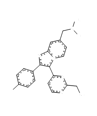 CN(C)Cc1ccn2c(-c3ccnc(CN)n3)c(-c3ccc(F)cc3)nc2c1